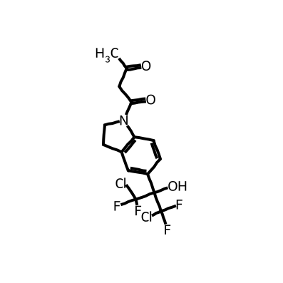 CC(=O)CC(=O)N1CCc2cc(C(O)(C(F)(F)Cl)C(F)(F)Cl)ccc21